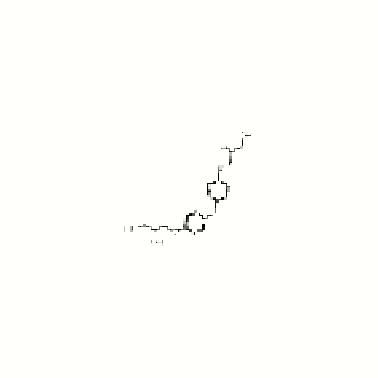 OCC(O)CSc1ccc(Sc2ccc(SCC(O)CO)cc2)cc1